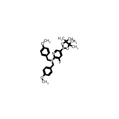 COc1ccc(CN(Cc2ccc(OC)cc2)c2ncc(B3OC(C)(C)C(C)(C)O3)cc2F)cc1